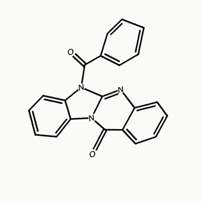 O=C(c1ccccc1)n1c2ccccc2n2c(=O)c3ccccc3nc12